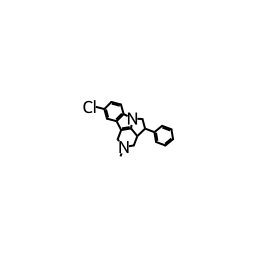 CN1Cc2c3n(c4ccc(Cl)cc24)CC(c2ccccc2)C3C1